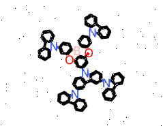 c1ccc2c(c1)c1ccccc1n2-c1ccc2c(c1)Oc1cc(-n3c4ccc(-n5c6ccccc6c6ccccc65)cc4c4cc(-n5c6ccccc6c6ccccc65)ccc43)cc3c1B2c1ccc(-n2c4ccccc4c4ccccc42)cc1O3